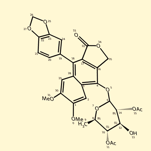 COc1cc2c(OC3O[C@H](C)[C@@H](OC(C)=O)[C@H](O)[C@H]3OC(C)=O)c3c(c(-c4ccc5c(c4)OCO5)c2cc1OC)C(=O)OC3